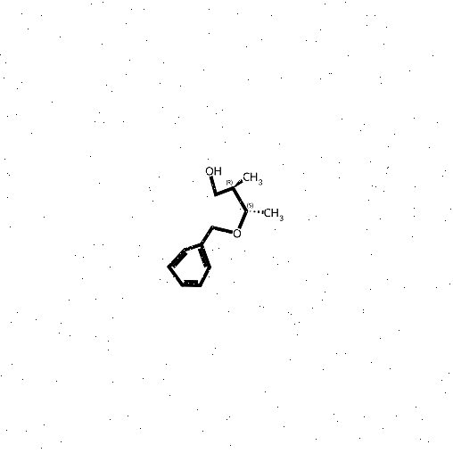 C[C@H](CO)[C@H](C)OCc1ccccc1